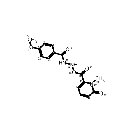 COc1ccc(C(=O)NNOC(=O)c2cccc(=O)n2C)cc1